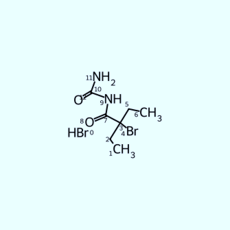 Br.CCC(Br)(CC)C(=O)NC(N)=O